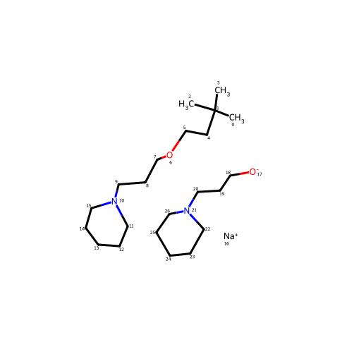 CC(C)(C)CCOCCCN1CCCCC1.[Na+].[O-]CCCN1CCCCC1